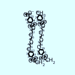 C=CS(=O)(=O)c1ccc(OCCOCCOCCOS(=O)(=O)c2ccc(C)cc2)cc1.C=CS(=O)(=O)c1ccc(OCCOCCOCCOS(=O)(=O)c2ccc([N+](=O)[O-])cc2)cc1